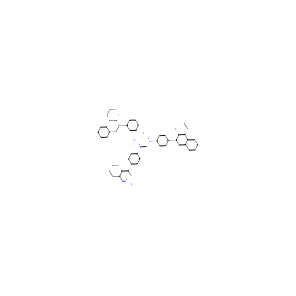 C1=Cc2cncc(-c3ccc(C4=CC(c5ccc(-c6cc7ccccc7c7c6CCC=C7)cc5)=NC(c5cccc(C6=Cc7ccccc7C7C=CCCC67)c5)N4)cc3)c2CC1